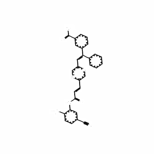 N#Cc1ccc(N)c(NC(=O)/C=C/c2cnc(/C=C(\c3ccccc3)c3cccc(C(N)=O)c3)cn2)c1